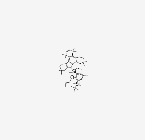 C=CCOc1c([Si](CC)(CC)C2C3=C(CCC(C)(C)C3)C3=C4C(=C5CCC(C)(C)CC5C32)C(C)(C)C=CC4(C)C)cc(C)cc1[Si](C)(C)C(C)(C)C